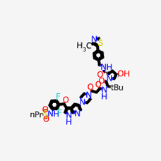 CCCS(=O)(=O)Nc1ccc(F)c(C(=O)c2c[nH]c3ncc(N4CCN(C(=O)CC(=O)NC(C(=O)N5C[C@H](O)C[C@H]5C(=O)NCc5ccc(-c6scnc6C)cc5)C(C)(C)C)CC4)cc23)c1F